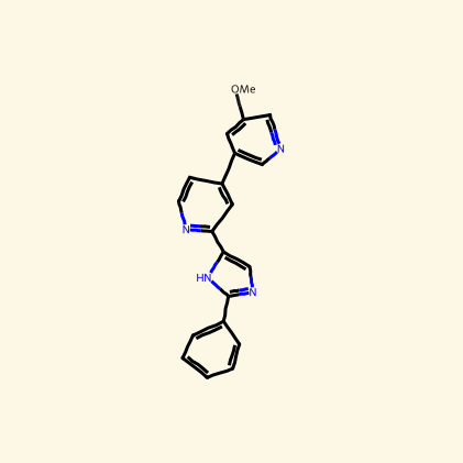 COc1cncc(-c2ccnc(-c3cnc(-c4ccccc4)[nH]3)c2)c1